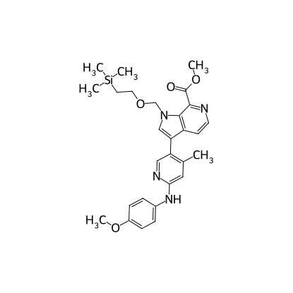 COC(=O)c1nccc2c(-c3cnc(Nc4ccc(OC)cc4)cc3C)cn(COCC[Si](C)(C)C)c12